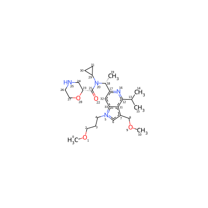 COCCCn1cc(COC)c2c(C(C)C)nc([C@@H](C)N(C(=O)[C@H]3CNCCO3)C3CC3)cc21